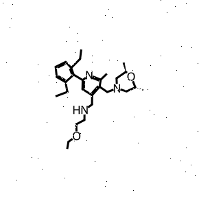 CCOCCNCc1cc(-c2c(CC)cccc2CC)nc(C)c1CN1C[C@@H](C)O[C@H](C)C1